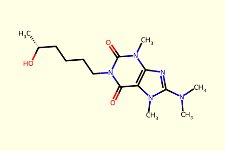 C[C@@H](O)CCCCn1c(=O)c2c(nc(N(C)C)n2C)n(C)c1=O